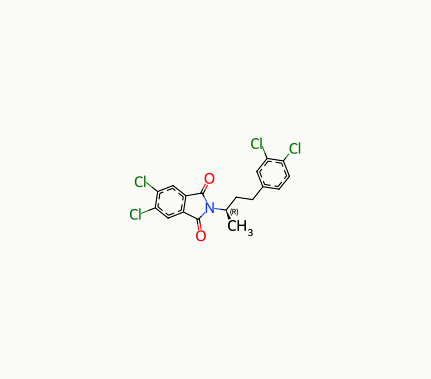 C[C@H](CCc1ccc(Cl)c(Cl)c1)N1C(=O)c2cc(Cl)c(Cl)cc2C1=O